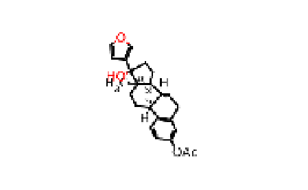 CC(=O)Oc1ccc2c(c1)CC=C1[C@@H]2CC[C@@]2(C)[C@H]1CC[C@@]2(O)c1ccoc1